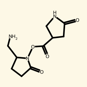 NCC1CCC(=O)N1OC(=O)C1CNC(=O)C1